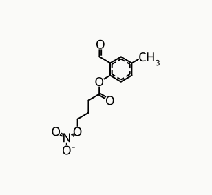 Cc1ccc(OC(=O)CCCO[N+](=O)[O-])c(C=O)c1